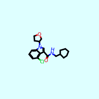 O=C(NCC1CCCCC1)c1cn(C2CCOC2)c2cccc(Cl)c12